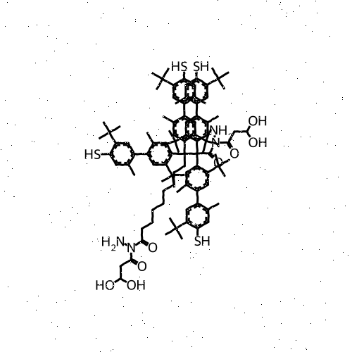 Cc1cc(S)c(C(C)(C)C)cc1-c1cc(C(C)(C)C)c(C(CCCCCCCCC(=O)N(N)C(=O)CC(O)O)(c2cc(C)c(-c3cc(C(C)(C)C)c(S)cc3C)cc2C(C)(C)C)C(C(=O)N(N)C(=O)CC(O)O)(c2cc(C)c(-c3cc(C(C)(C)C)c(S)cc3C)cc2C(C)(C)C)c2cc(C)c(-c3cc(C(C)(C)C)c(S)cc3C)cc2C(C)(C)C)cc1C